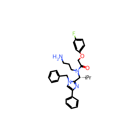 CC(C)[C@H](c1nc(-c2ccccc2)cn1Cc1ccccc1)N(CCCN)C(=O)COc1ccc(F)cc1